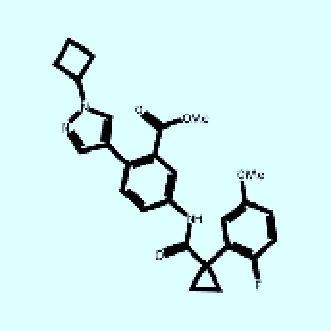 COC(=O)c1cc(NC(=O)C2(c3cc(OC)ccc3F)CC2)ccc1-c1cnn(C2CCC2)c1